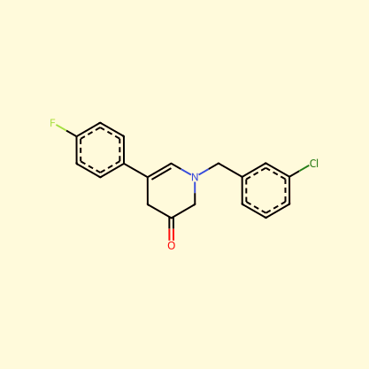 O=C1CC(c2ccc(F)cc2)=CN(Cc2cccc(Cl)c2)C1